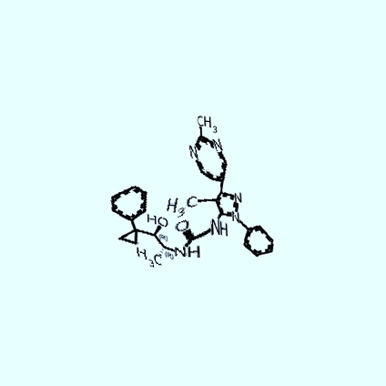 Cc1ncc(-c2nn(-c3ccccc3)c(NC(=O)N[C@H](C)[C@H](O)C3(c4ccccc4)CC3)c2C)cn1